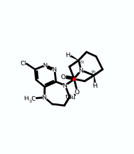 CN1CCCN(C2C[C@H]3CCC[C@@H](C2)N3C(=O)OC(C)(C)C)c2nnc(Cl)cc21